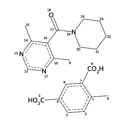 Cc1ccc(C(=O)O)cc1C(=O)O.Cc1ncnc(C)c1C(=O)N1CCCCC1